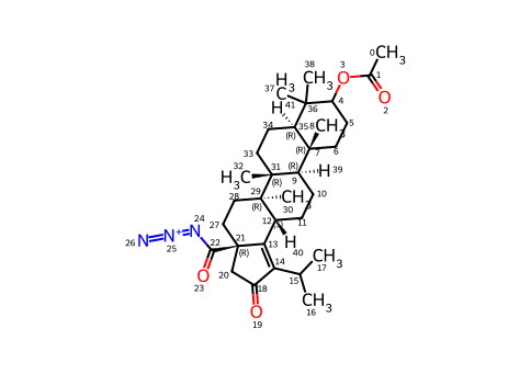 CC(=O)OC1CC[C@]2(C)[C@H]3CC[C@@H]4C5=C(C(C)C)C(=O)C[C@]5(C(=O)N=[N+]=[N-])CC[C@@]4(C)[C@]3(C)CC[C@H]2C1(C)C